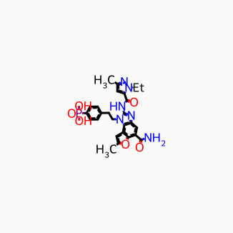 CCn1nc(C)cc1C(=O)Nc1nc2cc(C(N)=O)c3oc(C)cc3c2n1CCc1ccc(P(=O)(O)O)cc1